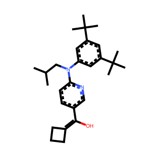 CC(C)CN(c1cc(C(C)(C)C)cc(C(C)(C)C)c1)c1ccc(C(O)=C2CCC2)cn1